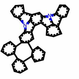 c1ccc2c(c1)-c1ccccc1-c1cc3c4c5c6cccc7c8ccccc8n(c5cc5c8ccccc8n(c3cc1-c1ccccc1-2)c54)c76